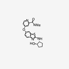 CNC(=O)c1cc(Oc2ccc3nc(N[C@@H]4CCC[C@H]4O)sc3c2)ccn1